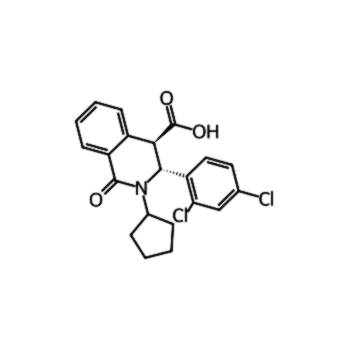 O=C(O)[C@@H]1c2ccccc2C(=O)N(C2CCCC2)[C@H]1c1ccc(Cl)cc1Cl